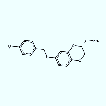 Cc1ccc(COc2ccc3c(c2)O[C@H](CN)CO3)cc1